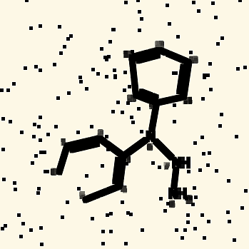 C/C=C\C(=C/C)N(NN)c1ccccc1